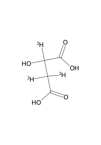 [2H]C([2H])(C(=O)O)C([2H])(O)C(=O)O